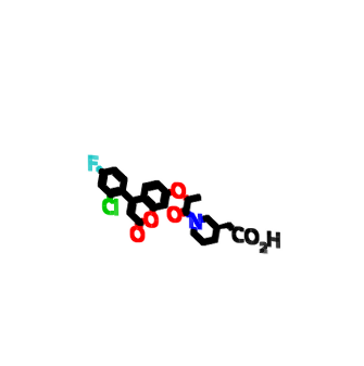 CC(Oc1ccc2c(-c3ccc(F)cc3Cl)cc(=O)oc2c1)C(=O)N1CCC[C@H](CC(=O)O)C1